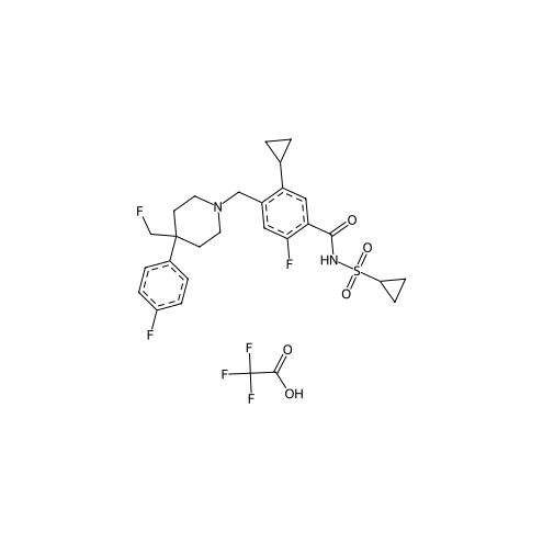 O=C(NS(=O)(=O)C1CC1)c1cc(C2CC2)c(CN2CCC(CF)(c3ccc(F)cc3)CC2)cc1F.O=C(O)C(F)(F)F